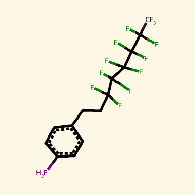 FC(F)(F)C(F)(F)C(F)(F)C(F)(F)C(F)(F)C(F)(F)CCc1ccc(P)cc1